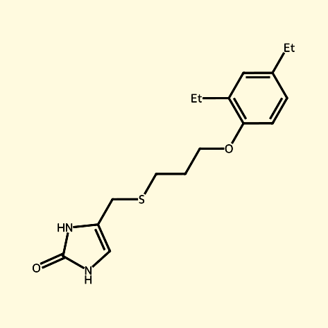 CCc1ccc(OCCCSCc2c[nH]c(=O)[nH]2)c(CC)c1